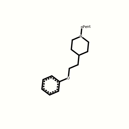 CCCCCN1CCC(CCOc2ccccc2)CC1